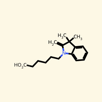 C=C1N(CCCCCC(=O)O)c2ccccc2C1(C)C